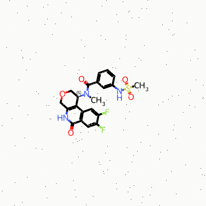 CN(C(=O)c1cccc(NS(C)(=O)=O)c1)[C@@H]1COCc2[nH]c(=O)c3cc(F)c(F)cc3c21